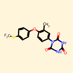 Cc1cc(-n2c(=O)[nH]c(=O)[nH]c2=O)ccc1Oc1ccc(SC(F)(F)F)cc1